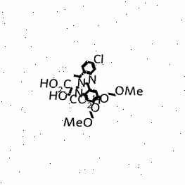 COCCOc1cc2c(cc1OCCOC)C1=Nc3cc(Cl)ccc3C(C)N1C=N2.O=C(O)CC(O)C(=O)O